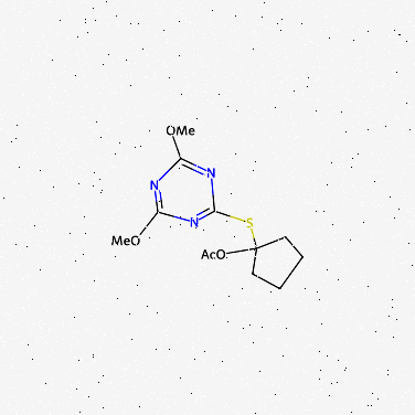 COc1nc(OC)nc(SC2(OC(C)=O)CCCC2)n1